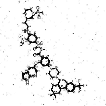 Cc1cc(C(F)(F)F)ccc1C1=C(CN2CCN(c3ccc(C(=O)NS(=O)(=O)c4ccc(NCCC5CN(S(C)(=O)=O)CCO5)c([N+](=O)[O-])c4)c(Oc4cnc5[nH]ccc5c4)c3)CC2)CCC(C)(C)C1